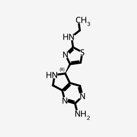 CCNc1nc([C@@H]2NCc3nc(N)ncc32)cs1